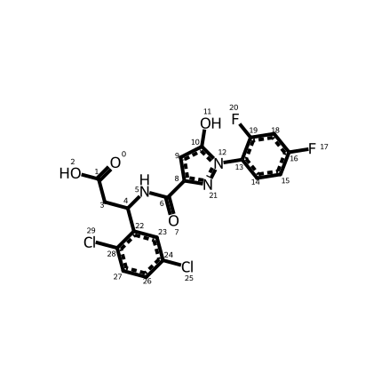 O=C(O)CC(NC(=O)c1cc(O)n(-c2ccc(F)cc2F)n1)c1cc(Cl)ccc1Cl